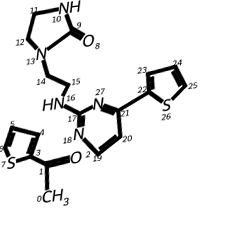 CC(=O)c1cccs1.O=C1NCCN1CCNc1nccc(-c2cccs2)n1